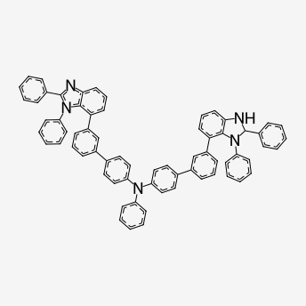 c1ccc(-c2nc3cccc(-c4cccc(-c5ccc(N(c6ccccc6)c6ccc(-c7cccc(-c8cccc9c8N(c8ccccc8)C(c8ccccc8)N9)c7)cc6)cc5)c4)c3n2-c2ccccc2)cc1